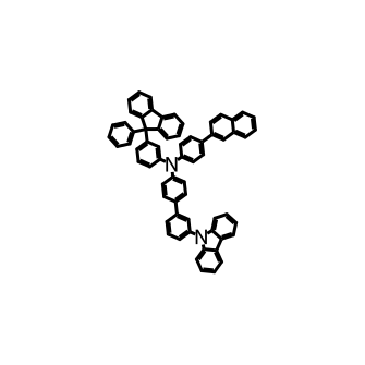 c1ccc(C2(c3cccc(N(c4ccc(-c5cccc(-n6c7ccccc7c7ccccc76)c5)cc4)c4ccc(-c5ccc6ccccc6c5)cc4)c3)c3ccccc3-c3ccccc32)cc1